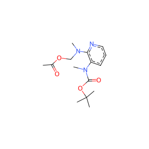 CC(=O)OCN(C)c1ncccc1N(C)C(=O)OC(C)(C)C